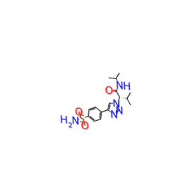 CC(C)NC(=O)[C@H](C(C)C)n1cc(-c2ccc(S(N)(=O)=O)cc2)nn1